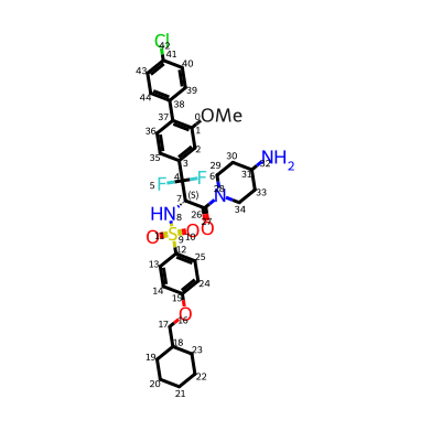 COc1cc(C(F)(F)[C@@H](NS(=O)(=O)c2ccc(OCC3CCCCC3)cc2)C(=O)N2CCC(N)CC2)ccc1-c1ccc(Cl)cc1